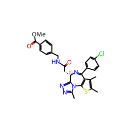 COC(=O)c1ccc(CNC(=O)C[C@@H]2N=C(c3ccc(Cl)cc3)c3c(sc(C)c3C)-n3c(C)nnc32)cc1